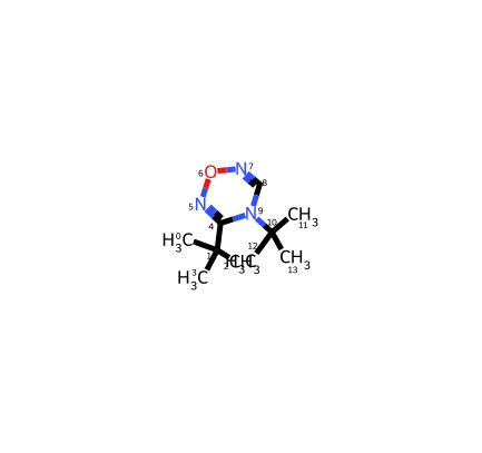 CC(C)(C)C1=NON=CN1C(C)(C)C